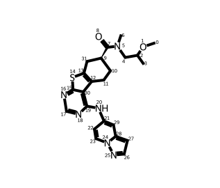 COC(C)CN(C)C(=O)[C@H]1CCc2c(sc3ncnc(Nc4ccn5nccc5c4)c23)C1